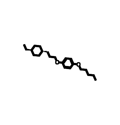 CCCCCOc1ccc(OCCC[C@H]2CC[C@H](CC)CC2)cc1